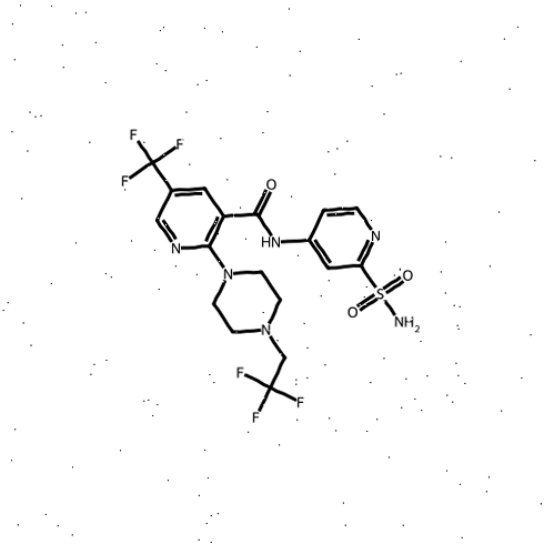 NS(=O)(=O)c1cc(NC(=O)c2cc(C(F)(F)F)cnc2N2CCN(CC(F)(F)F)CC2)ccn1